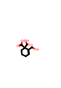 O=C(O)C1=CCCCC1(C(=O)O)C(=O)O